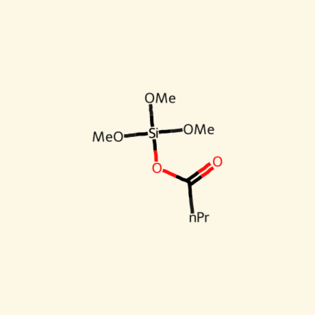 CCCC(=O)O[Si](OC)(OC)OC